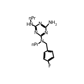 CCCNc1nc(N)nc(N(CCC)Cc2ccc(F)cc2)n1